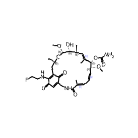 CO[C@H]1C[C@H](C)CC2=C(NCCF)C(=O)C=C(NC(=O)/C(C)=C/C=C\[C@@H](OC)[C@@H](OC(N)=O)/C(C)=C/[C@H](C)[C@H]1O)C2=O